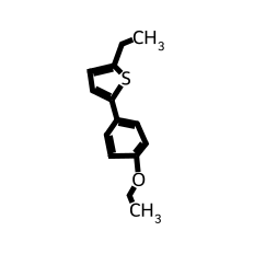 CCOc1ccc(-c2ccc(CC)s2)cc1